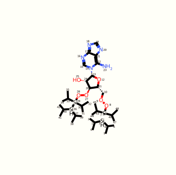 CC(C)[SiH](C(C)C)[Si](OOC[C@H]1O[C@@H](n2cnc3ncnc-3c2N)[C@@H](O)[C@@H]1OO[Si](C(C)C)(C(C)C)[SiH](C(C)C)C(C)C)(C(C)C)C(C)C